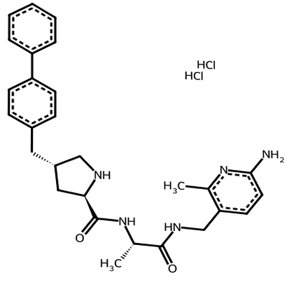 Cc1nc(N)ccc1CNC(=O)[C@H](C)NC(=O)[C@H]1C[C@H](Cc2ccc(-c3ccccc3)cc2)CN1.Cl.Cl